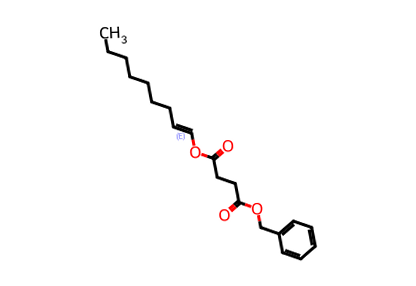 CCCCCCC/C=C/OC(=O)CCC(=O)OCc1ccccc1